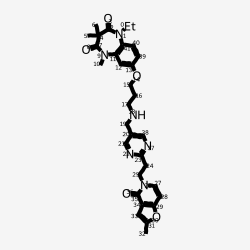 CCN1C(=O)C(C)(C)C(=O)N(C)c2cc(OCCCNCc3cnc(CCn4ccc5oc(C)cc5c4=O)nc3)ccc21